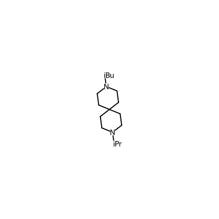 CCC(C)N1CCC2(CCN(C(C)C)CC2)CC1